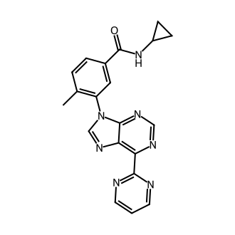 Cc1ccc(C(=O)NC2CC2)cc1-n1cnc2c(-c3ncccn3)ncnc21